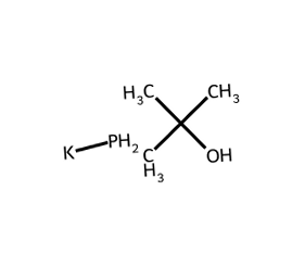 CC(C)(C)O.[PH2][K]